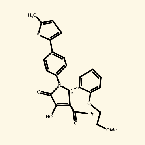 COCCOc1ccccc1[C@@H]1C(C(=O)C(C)C)=C(O)C(=O)N1c1ccc(-c2ccc(C)s2)cc1